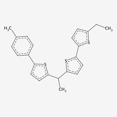 CCc1ccc(-c2ccc(C(C)c3ccc(-c4ccc(C)cc4)s3)s2)s1